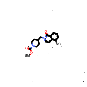 CC(C)(C)OC(=O)N1CCC(Cn2ccc3c([N+](=O)[O-])cccc3c2=O)CC1